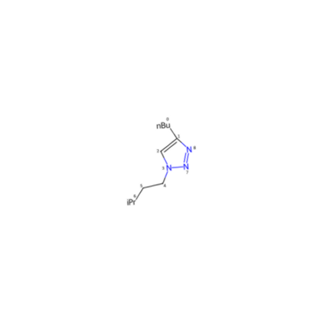 CCCCc1cn(CCC(C)C)nn1